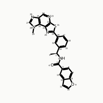 C[C@H](NC(=O)c1ccc2occc2c1)c1cccc(-c2nc3c(ncc4ncn(C)c43)s2)c1